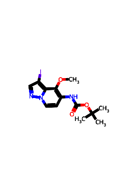 COc1c(NC(=O)OC(C)(C)C)ccn2ncc(I)c12